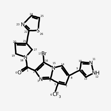 O=C(c1nc2c(C(F)(F)F)cc(-c3cn[nH]c3)cn2c1Br)N1CC=C(c2nccs2)C1